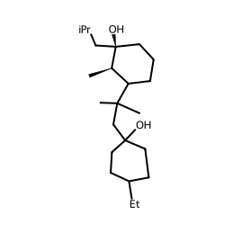 CCC1CCC(O)(CC(C)(C)C2CCC[C@@](O)(CC(C)C)[C@@H]2C)CC1